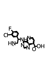 CNCC(Nc1ncnc2c(C(=O)O)ccnc12)c1ccc(F)c(Cl)c1